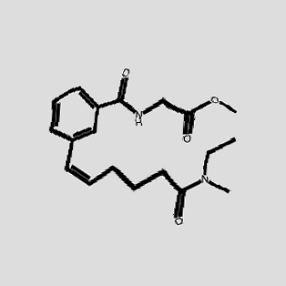 CCN(C)C(=O)CCC/C=C\c1cccc(C(=O)NCC(=O)OC)c1